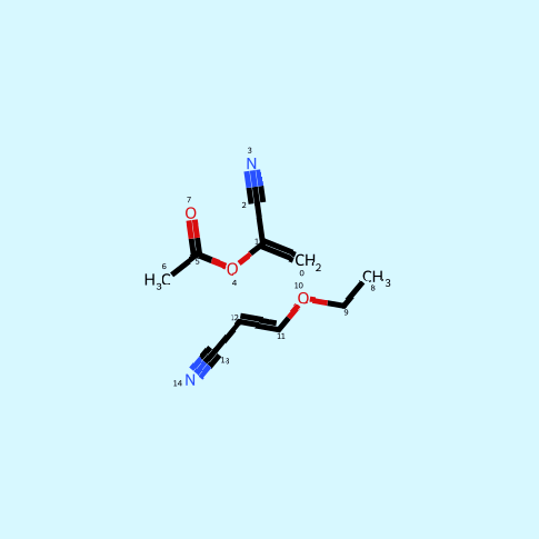 C=C(C#N)OC(C)=O.CCOC=CC#N